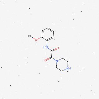 CCOc1ccccc1NC(=O)C(=O)N1CCNCC1